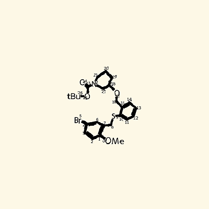 COc1ccc(Br)cc1CSc1ccccc1COC1CCCN(C(=O)OC(C)(C)C)C1